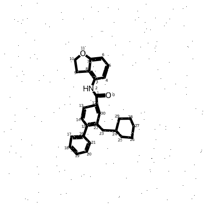 O=C(Nc1cccc2c1CCO2)c1ccc(-c2ccccc2)c(CC2CCCCC2)c1